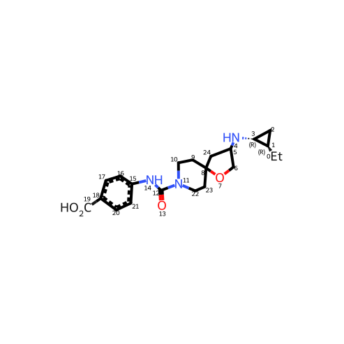 CC[C@@H]1C[C@H]1NC1COC2(CCN(C(=O)Nc3ccc(C(=O)O)cc3)CC2)C1